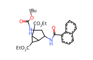 CCOC(=O)C1C2C(NC(=O)c3cccc4ccccc34)CC(NC(=O)OC(C)(C)C)(C(=O)OCC)C12